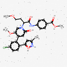 COCCC(C(=O)Nc1ccc(C(=O)OC)cc1)n1cc(OC)c(-c2cc(Cl)ccc2-c2cc(C)no2)cc1=O